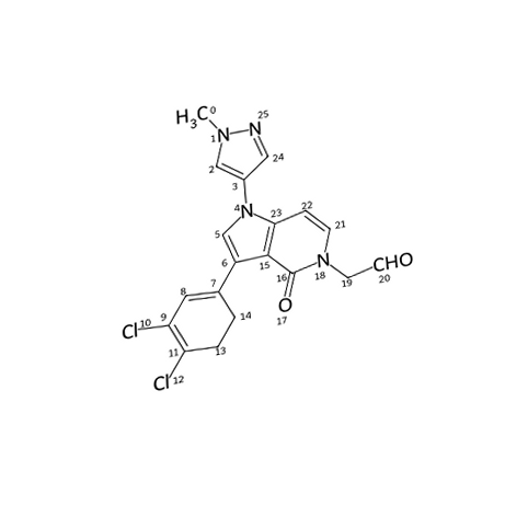 Cn1cc(-n2cc(C3=CC(Cl)=C(Cl)CC3)c3c(=O)n(CC=O)ccc32)cn1